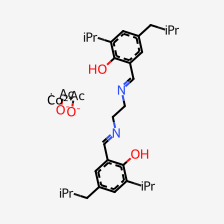 CC(=O)[O-].CC(=O)[O-].CC(C)Cc1cc(C=NCCN=Cc2cc(CC(C)C)cc(C(C)C)c2O)c(O)c(C(C)C)c1.[Co+2]